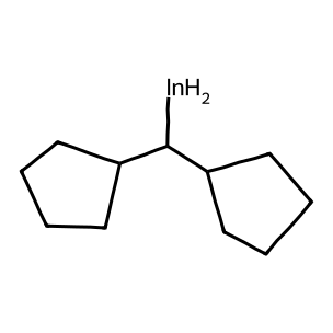 [InH2][CH](C1CCCC1)C1CCCC1